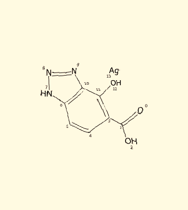 O=C(O)c1ccc2[nH]nnc2c1O.[Ag]